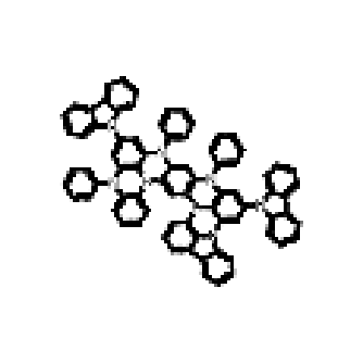 c1ccc(N2c3ccccc3B3c4cc5c(cc4N(c4ccccc4)c4cc(-n6c7ccccc7c7ccccc76)cc2c43)N(c2ccccc2)c2cc(-n3c4ccccc4c4ccccc43)cc3c2B5c2cccc4c5ccccc5n-3c24)cc1